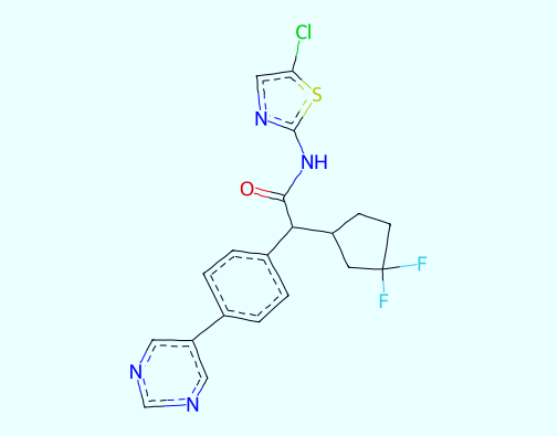 O=C(Nc1ncc(Cl)s1)C(c1ccc(-c2cncnc2)cc1)C1CCC(F)(F)C1